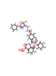 Cc1oc(-c2ccccc2)nc1CCOc1ccc(N(Cc2ccccc2C(=O)O)S(=O)(=O)c2ccccc2)cc1